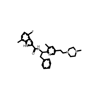 Cc1cc(CCN2CCN(C)CC2)cnc1C(Cc1ccccc1)NC(=O)c1cc2c(F)ccc(C)c2[nH]1